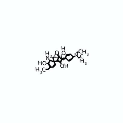 CCC1=C(O)C(N)C(CC)(C2=C(O)C(=C3C=CC(N(CC)CC)C=C3O)C2=O)C=C1